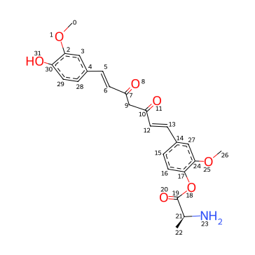 COc1cc(/C=C/C(=O)CC(=O)/C=C/c2ccc(OC(=O)[C@H](C)N)c(OC)c2)ccc1O